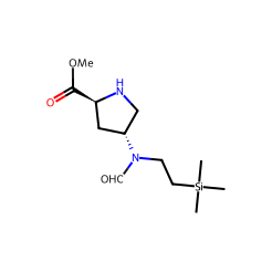 COC(=O)[C@@H]1C[C@@H](N(C=O)CC[Si](C)(C)C)CN1